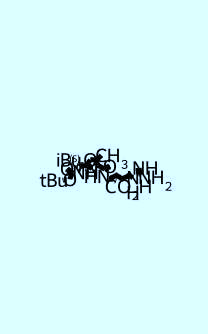 CC[C@H](C)[C@H](NC(=O)OC(C)(C)C)c1nc(C(=O)N[C@@H](CCCNC(=N)N)C(=O)O)c(C)o1